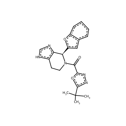 CC(C)(C)c1nnc(C(=O)N2CCc3[nH]cnc3[C@H]2c2cc3ccccc3o2)o1